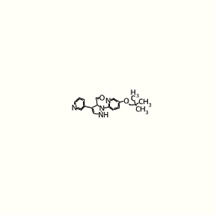 CC(C)(C)COc1ccc(N2NC=C(c3cccnc3)C2C=O)nc1